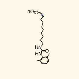 CCCCCCCC/C=C\CCCCCCCCNC(=O)Nc1c(C)cccc1C